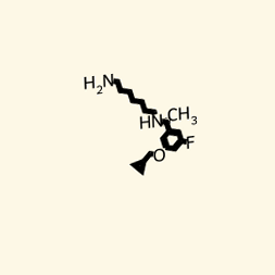 C[C@H](NCCCCCCCN)c1cc(F)cc(OCC2CC2)c1